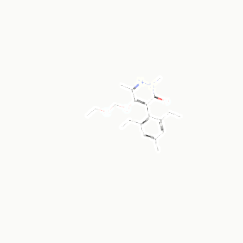 CCOCOc1c(C)nn(C)c(=O)c1-c1c(CC)cc(C)cc1CC